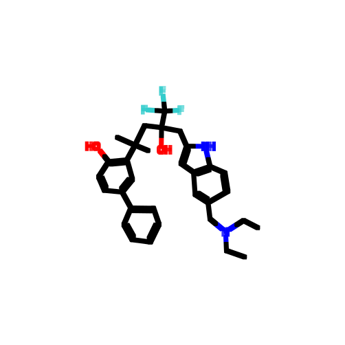 CCN(CC)Cc1ccc2[nH]c(CC(O)(CC(C)(C)c3cc(-c4ccccc4)ccc3O)C(F)(F)F)cc2c1